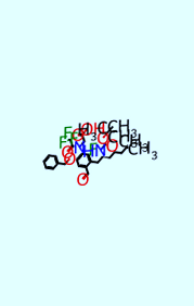 CC(C)CCC[C@@H](Cc1c(C=O)cc(OCc2ccccc2)c(N(CC(=O)O)C(=O)C(F)(F)F)c1F)NC(=O)OC(C)(C)C